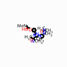 CNCC(O)COc1cccc(-c2nc(-c3c(C)noc3C)c(C)c(N3CCC[C@H](N(C)C(=O)N(C)C)C3)n2)c1